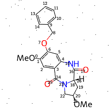 COc1cc2c(cc1OCc1ccccc1)NC(=O)[C@@H]1C[C@@H](OC)CN1C2=O